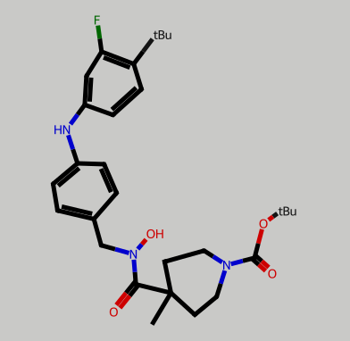 CC(C)(C)OC(=O)N1CCC(C)(C(=O)N(O)Cc2ccc(Nc3ccc(C(C)(C)C)c(F)c3)cc2)CC1